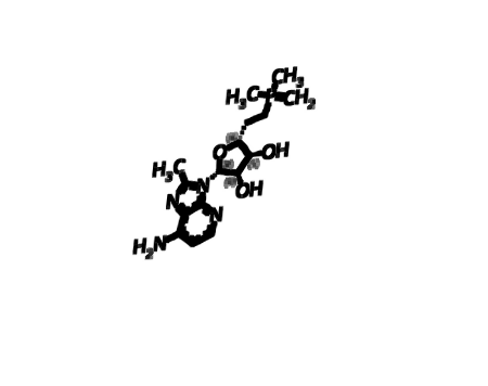 C=P(C)(C)CC[C@H]1O[C@@H](n2c(C)nc3c(N)ccnc32)[C@H](O)[C@@H]1O